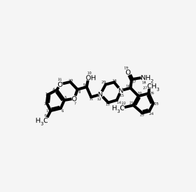 Cc1ccc2c(c1)OC(C(O)CN1CCN(C(C(N)=O)c3c(C)cccc3C)CC1)CO2